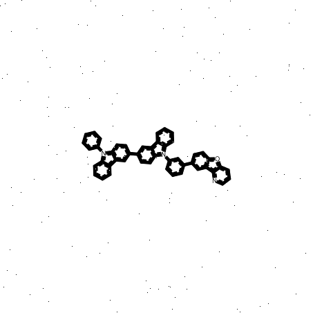 c1ccc(-n2c3ccccc3c3cc(-c4ccc5c(c4)c4ccccc4n5-c4cccc(-c5ccc6oc7cccnc7c6c5)c4)ccc32)cc1